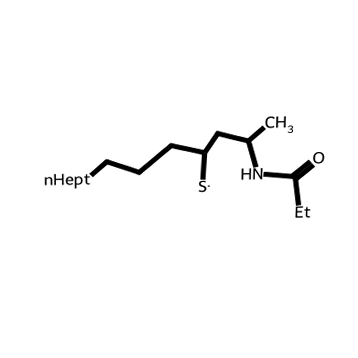 CCCCCCCCCCC([S])CC(C)NC(=O)CC